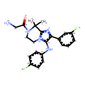 CC1(C)c2nc(-c3cccc(F)c3)c(Nc3ccc(F)cc3)n2CCN1C(=O)CN